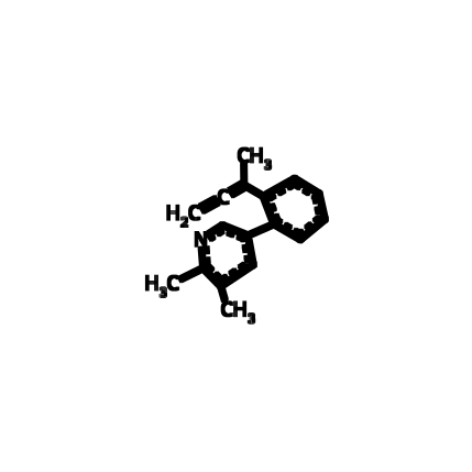 C=C=C(C)c1ccccc1-c1cnc(C)c(C)c1